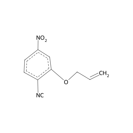 [C-]#[N+]c1ccc([N+](=O)[O-])cc1OCC=C